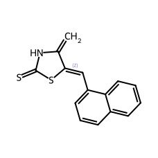 C=c1[nH]c(=S)s/c1=C\c1cccc2ccccc12